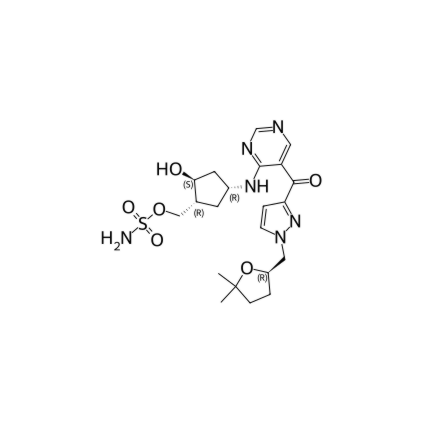 CC1(C)CC[C@H](Cn2ccc(C(=O)c3cncnc3N[C@@H]3C[C@H](COS(N)(=O)=O)[C@@H](O)C3)n2)O1